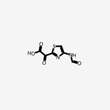 O=CNc1csc(C(=O)C(=O)O)n1